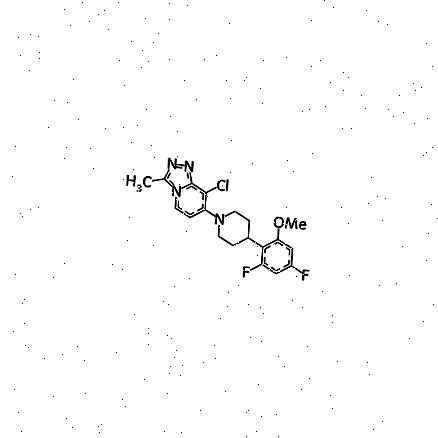 COc1cc(F)cc(F)c1C1CCN(c2ccn3c(C)nnc3c2Cl)CC1